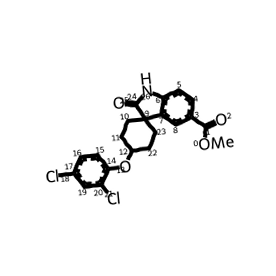 COC(=O)c1ccc2c(c1)C1(CCC(Oc3ccc(Cl)cc3Cl)CC1)C(=O)N2